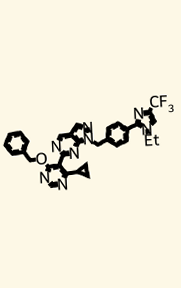 CCn1cc(C(F)(F)F)nc1-c1ccc(Cn2ncc3cnc(-c4c(OCc5ccccc5)ncnc4C4CC4)nc32)cc1